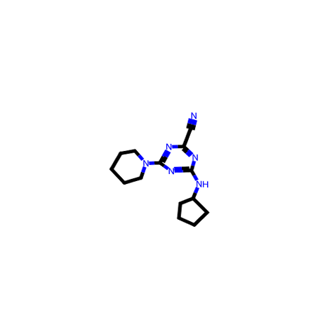 N#Cc1nc(NC2CCCC2)nc(N2CCCCC2)n1